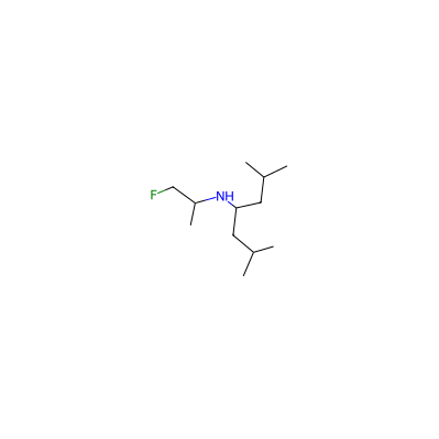 CC(C)CC(CC(C)C)NC(C)CF